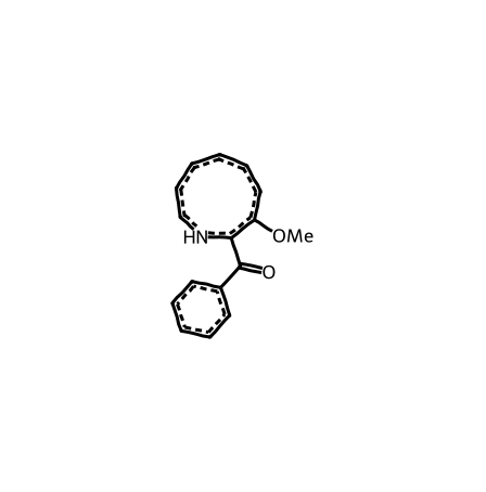 COc1cccccc[nH]c1C(=O)c1ccccc1